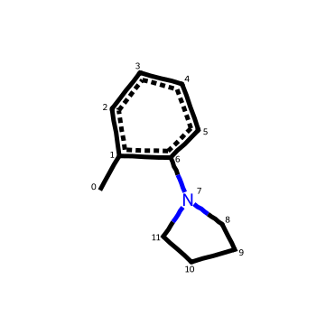 Cc1[c]cccc1N1CCCC1